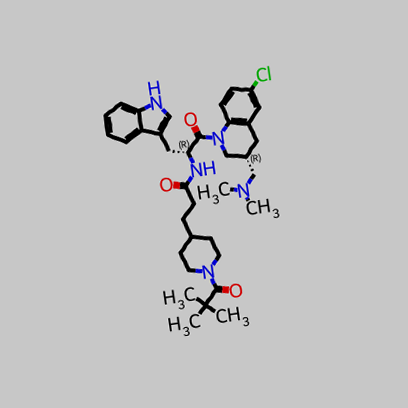 CN(C)C[C@H]1Cc2cc(Cl)ccc2N(C(=O)[C@@H](Cc2c[nH]c3ccccc23)NC(=O)CCC2CCN(C(=O)C(C)(C)C)CC2)C1